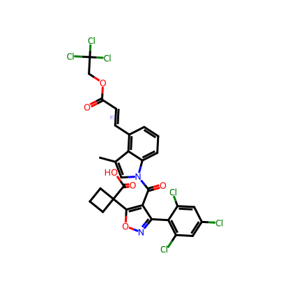 Cc1cn(C(=O)c2c(-c3c(Cl)cc(Cl)cc3Cl)noc2C2(C(=O)O)CCC2)c2cccc(/C=C/C(=O)OCC(Cl)(Cl)Cl)c12